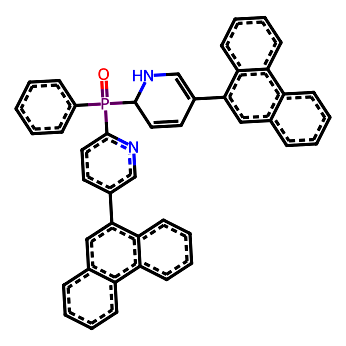 O=P(c1ccccc1)(c1ccc(-c2cc3ccccc3c3ccccc23)cn1)C1C=CC(c2cc3ccccc3c3ccccc23)=CN1